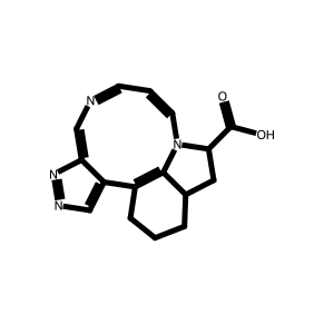 O=C(O)C1CC2CCCc3c4cnnc-4cncccn1c32